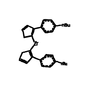 CCCCc1ccc(C2=[C]([Zr][C]3=C(c4ccc(CCCC)cc4)C=CC3)CC=C2)cc1